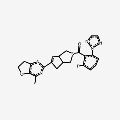 Cc1nc(C2=CC3CN(C(=O)c4c(F)cccc4-n4nccn4)CC3C2)nc2c1OCC2